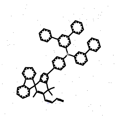 C=C/C=C\C1=C(C)C2(c3ccccc3-c3ccccc32)c2ccc(-c3ccc(N(c4cccc(-c5ccccc5)c4)c4cc(-c5ccccc5)cc(-c5ccccc5)c4)cc3)cc2C1(C)C